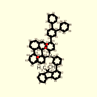 CC1(C)c2ccccc2-c2cccc(-c3cccc(N(c4ccc(-c5ccc(-c6ccccc6)c(-c6ccccc6)c5)cc4)c4ccccc4-c4cccc5cccc(-c6ccccc6)c45)c3)c21